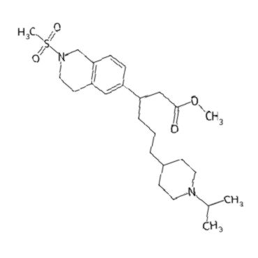 COC(=O)CC(CCCC1CCN(C(C)C)CC1)c1ccc2c(c1)CCN(S(C)(=O)=O)C2